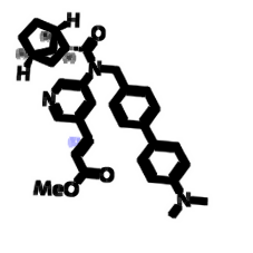 COC(=O)/C=C/c1cncc(N(Cc2ccc(-c3ccc(N(C)C)cc3)cc2)C(=O)[C@@H]2C[C@@H]3CC[C@H]2C3)c1